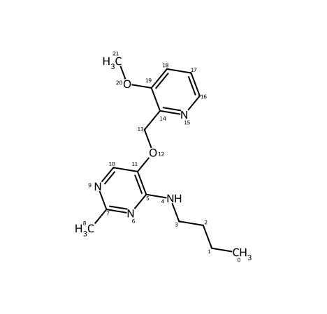 CCCCNc1nc(C)ncc1OCc1ncccc1OC